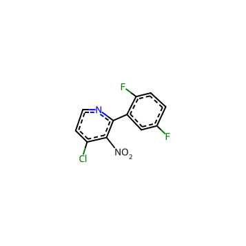 O=[N+]([O-])c1c(Cl)ccnc1-c1cc(F)ccc1F